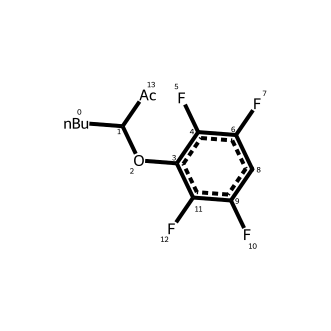 CCCCC(Oc1c(F)c(F)cc(F)c1F)C(C)=O